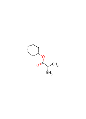 B[C@@H](C)C(=O)OC1CCCCC1